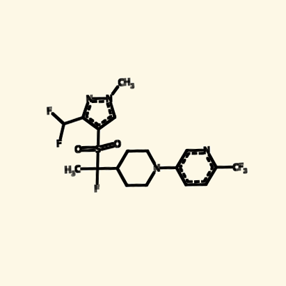 Cn1cc(S(=O)(=O)C(C)(F)C2CCN(c3ccc(C(F)(F)F)nc3)CC2)c(C(F)F)n1